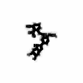 COc1ccc(-c2cc3cc(F)c(F)cc3[nH]2)cc1NCc1cccc(O)c1[N+](=O)[O-]